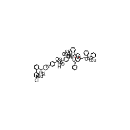 CC(C)(C)[Si](C)(C)OC(c1ccccc1-c1ccc(Cl)cc1)C1CCN(c2ccc(C(=O)NS(=O)(=O)c3ccc(N[C@H](CCN(CCO[Si](c4ccccc4)(c4ccccc4)C(C)(C)C)CC[Si](c4ccccc4)(c4ccccc4)C(C)(C)C)CSc4ccccc4)c(S(=O)(=O)C(F)(F)F)c3)cc2)CC1